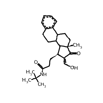 CC(C)(C)NC(=O)CC[C@@H]1/C(=C/O)C(=O)[C@@]2(C)CCC3c4ccccc4CCC3C12